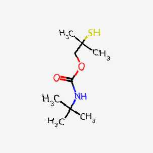 CC(C)(S)COC(=O)NC(C)(C)C